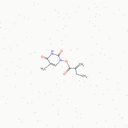 C=C(CC)C(=O)On1cc(C)c(=O)[nH]c1=O